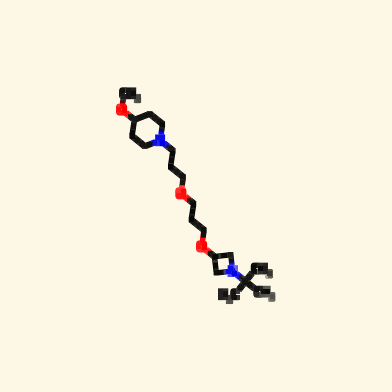 COC1CCN(CCCOCCCOC2CN(C(C)(C)C)C2)CC1